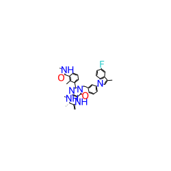 C=C(Nc1cnc(-c2cccc(C(=O)NC)c2C)n(Cc2cccc(-n3cc(C)c4cc(F)ccc43)c2)c1=O)[C@H](C)NC